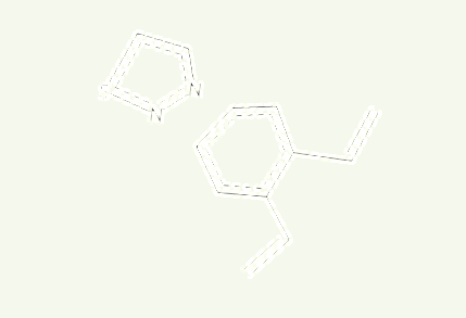 C=Cc1ccccc1C=C.c1csnn1